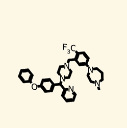 CN1CCCN(c2ccc(C(F)(F)F)c(CN3CCN(C(c4ccc(Oc5ccccc5)cc4)c4ccccn4)CC3)c2)CC1